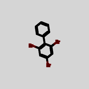 Brc1cc(Br)c(-c2ccccc2)c(Br)c1